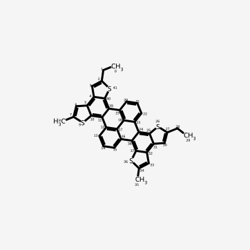 CCc1cc2c3cc(C)sc3c3c4cccc5c4c4c(cccc4c4c6sc(CC)cc6c6cc(C)sc6c54)c3c2s1